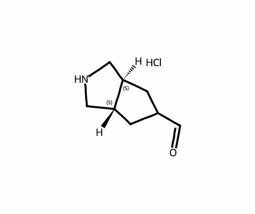 Cl.O=CC1C[C@@H]2CNC[C@H]2C1